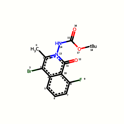 Cc1c(Br)c2cccc(F)c2c(=O)n1NC(=O)OC(C)(C)C